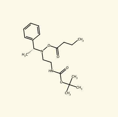 CCCC(=O)ON(CCNC(=O)OC(C)(C)C)[C@H](C)c1ccccc1